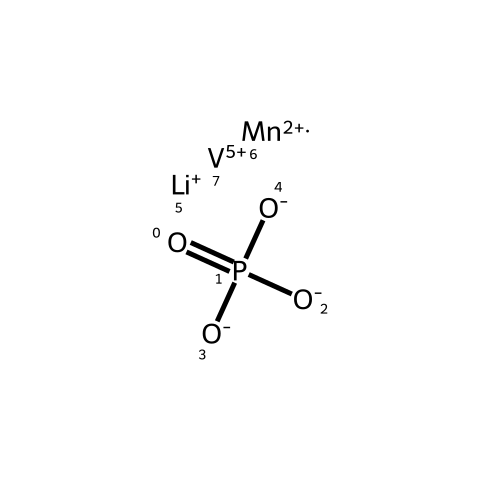 O=P([O-])([O-])[O-].[Li+].[Mn+2].[V+5]